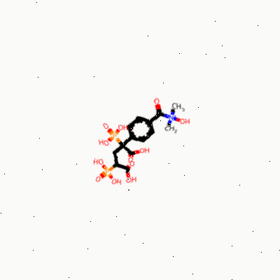 C[N+](C)(O)C(=O)c1ccc(C(CC(C(=O)O)P(=O)(O)O)(C(=O)O)P(=O)(O)O)cc1